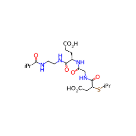 CC(C)SC(CC(=O)O)C(=O)NCC(=O)N[C@H](CCC(=O)O)C(=O)NCCNC(=O)C(C)C